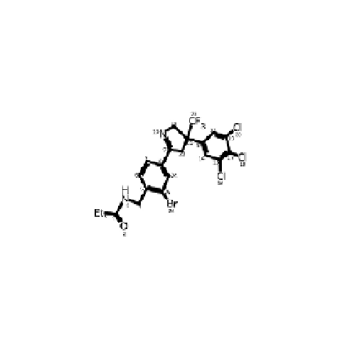 CCC(=O)NCc1ccc(C2=NCC(c3cc(Cl)c(Cl)c(Cl)c3)(C(F)(F)F)C2)cc1Br